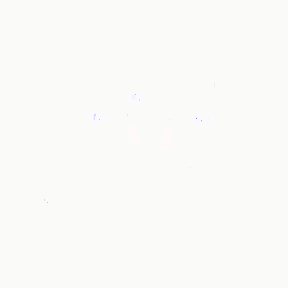 CCOC(=O)C(C)NC(=O)C(CC(=O)O)NC(=O)Nc1ccc([N+](=O)[O-])cc1